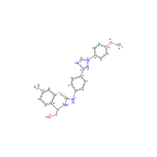 OCC(NC(=S)Nc1ccc(-c2ncn(-c3ccc(OC(F)(F)F)cc3)n2)cc1)c1ccc(C(F)(F)F)cc1